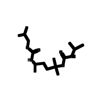 CC(C)COC(=O)NC(C)CCC(C)(C)OC(=O)NC(C)C